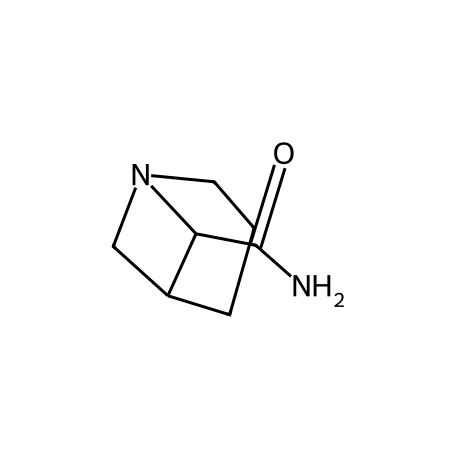 NC(=O)C1C2CCCN1C2